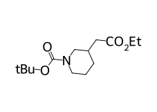 CCOC(=O)CC1CCCN(C(=O)OC(C)(C)C)C1